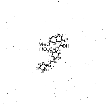 COc1ccc2ncc(Cl)c([C@@H](O)CCC3(CC(=O)O)CCN(CCSc4ccccn4)CC3)c2c1